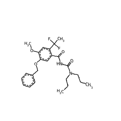 CCCN(CCC)C(=O)NC(=O)c1cc(OCc2ccccc2)c(OC)cc1C(C)(F)F